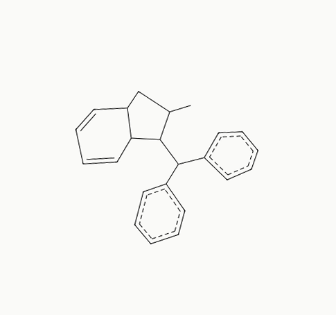 CC1CC2C=CC=CC2C1C(c1ccccc1)c1ccccc1